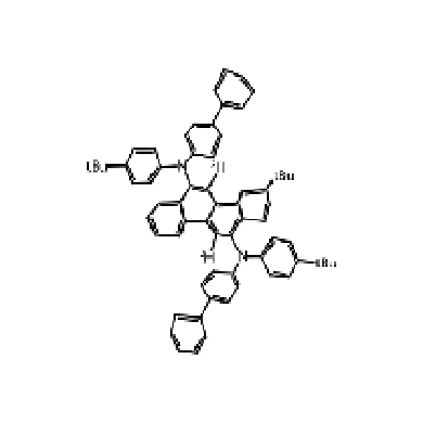 [2H]c1c(N(c2ccc(-c3ccccc3)cc2)c2ccc(C(C)(C)C)cc2)c2ccc(C(C)(C)C)cc2c2c([2H])c(N(c3ccc(-c4ccccc4)cc3)c3ccc(C(C)(C)C)cc3)c3ccccc3c12